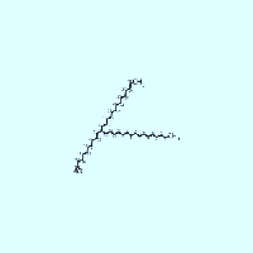 CCCCCCCCCCCCCCCCC(CCCCCCCCCCCCCC)CCCCCCCCCC1CO1